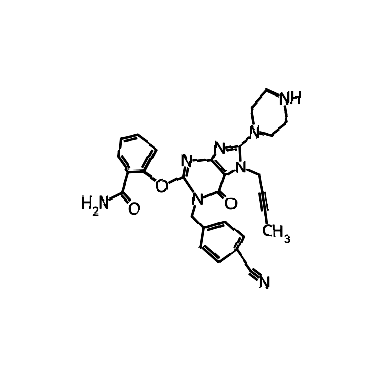 CC#CCn1c(N2CCNCC2)nc2nc(Oc3ccccc3C(N)=O)n(Cc3ccc(C#N)cc3)c(=O)c21